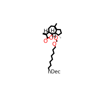 C=C1C(=O)O[C@H]2[C@H]1CCC(C)=C1CC[C@@](C)(OCOCCCCCCCCCCCCCCCCCC)[C@@H]12